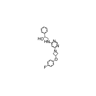 OC(CNc1cc(N2CC(Oc3ccc(F)cc3)C2)ncn1)c1ccccc1